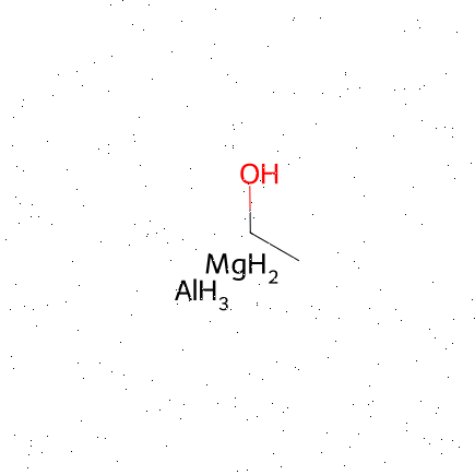 CCO.[AlH3].[MgH2]